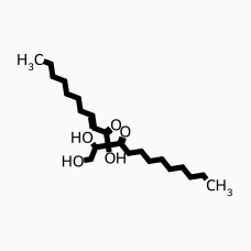 CCCCCCCC=CC(=O)C(O)(C(=O)CCCCCCCCC)C(O)CO